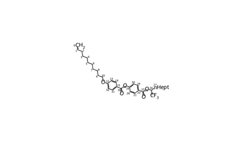 C=CCCCCCCCCCOc1ccc(C(=O)Oc2ccc(C(=O)OC(CCCCCCC)C(F)(F)F)cc2)cc1